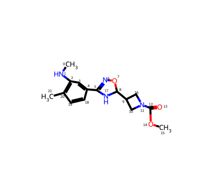 CNc1cc(C2=NOC(C3CN(C(=O)OC)C3)N2)ccc1C